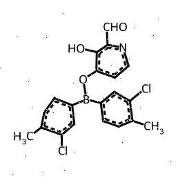 Cc1ccc(B(Oc2ccnc(C=O)c2O)c2ccc(C)c(Cl)c2)cc1Cl